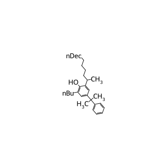 CCCCCCCCCCCCCCC(C)c1cc(C(C)(C)c2ccccc2)cc(CCCC)c1O